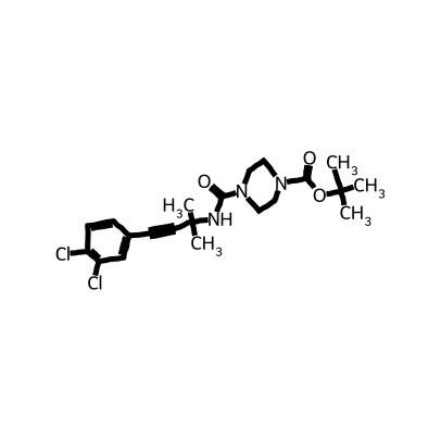 CC(C)(C#Cc1ccc(Cl)c(Cl)c1)NC(=O)N1CCN(C(=O)OC(C)(C)C)CC1